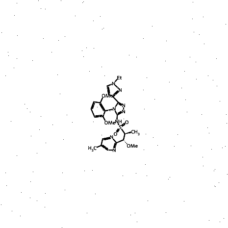 CCn1ccc(-c2nnc(NS(=O)(=O)[C@@H](C)[C@H](OC)c3ncc(C)cn3)n2-c2c(OC)cccc2OC)n1